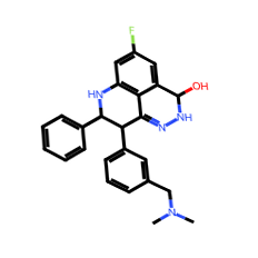 CN(C)Cc1cccc(C2C3=NNC(O)c4cc(F)cc(c43)NC2c2ccccc2)c1